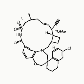 C#C[C@]1(OC)/C=C/C[C@H](C)[C@@H](C)S(=O)(=O)NC(=O)c2ccc3c(c2)N(C[C@@H]2CC[C@H]21)C[C@@]1(CCCc2cc(Cl)ccc21)CO3